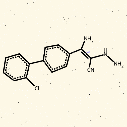 N#C/C(NN)=C(/N)c1ccc(-c2ccccc2Cl)cc1